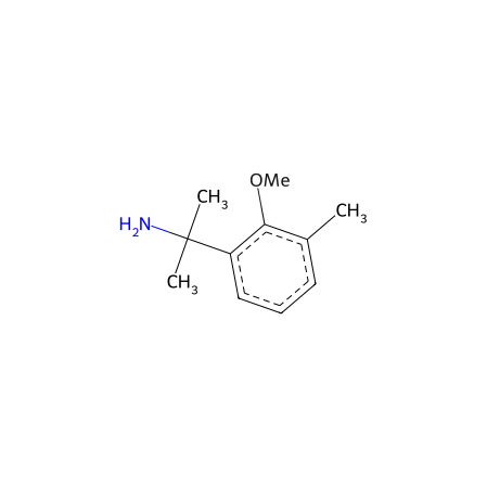 COc1c(C)cccc1C(C)(C)N